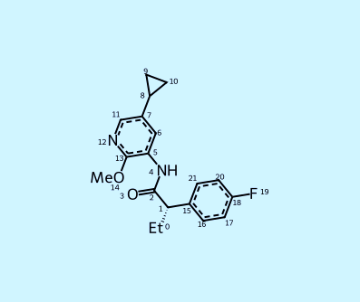 CC[C@H](C(=O)Nc1cc(C2CC2)cnc1OC)c1ccc(F)cc1